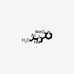 C=C/C(C(C)=O)=C1\NC=C(c2cccnc2OC)S1